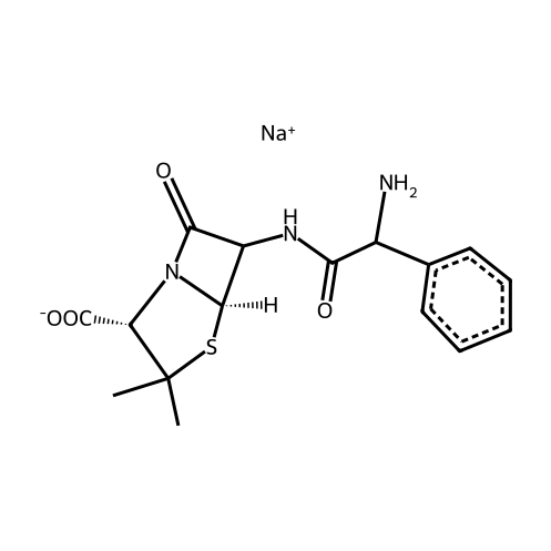 CC1(C)S[C@@H]2C(NC(=O)C(N)c3ccccc3)C(=O)N2[C@H]1C(=O)[O-].[Na+]